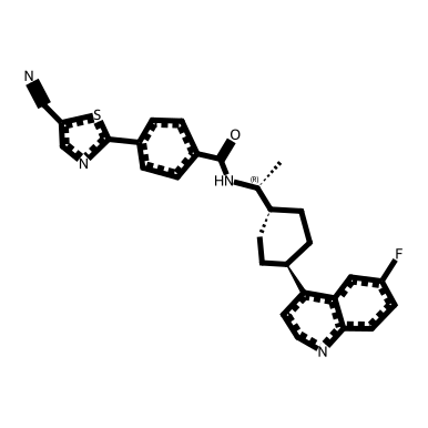 C[C@@H](NC(=O)c1ccc(-c2ncc(C#N)s2)cc1)[C@H]1CC[C@H](c2ccnc3ccc(F)cc32)CC1